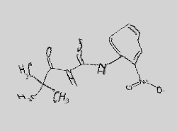 CC(C)(C)C(=O)NC(=S)Nc1ccccc1[N+](=O)[O-]